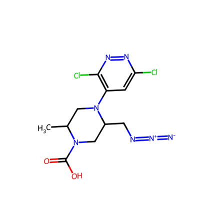 CC1CN(c2cc(Cl)nnc2Cl)C(CN=[N+]=[N-])CN1C(=O)O